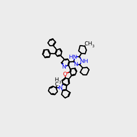 CC1CCC(C2NC(c3cc(-c4ccc(C5=CC=CCC5)c(-c5ccccc5)c4)cnc3-c3cccc4c3oc3cc5c(cc34)c3c(n5C4(C)C=CCC=CC4)CCC=C3)=NC(C3CCCCC3)N2)CC1